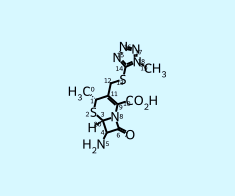 C[C@H]1S[C@H]2C(N)C(=O)N2C(C(=O)O)=C1CSc1nnnn1C